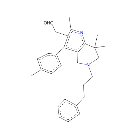 Cc1ccc(-c2c(CC=O)c(C)nc3c2CN(CCCc2ccccc2)CC3(C)C)cc1